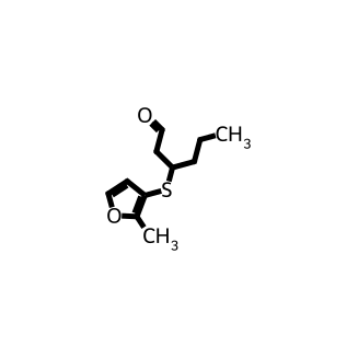 CCCC(CC=O)Sc1ccoc1C